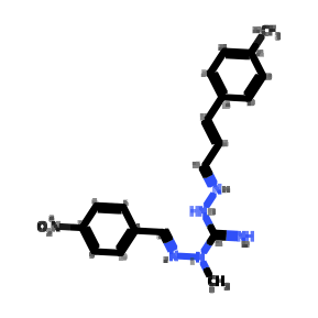 CN(N=Cc1ccc([N+](=O)[O-])cc1)C(=N)NN=CC=Cc1ccc(C(F)(F)F)cc1